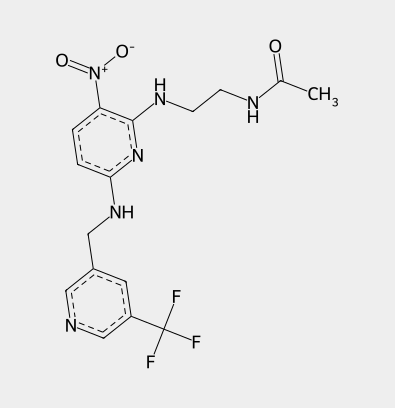 CC(=O)NCCNc1nc(NCc2cncc(C(F)(F)F)c2)ccc1[N+](=O)[O-]